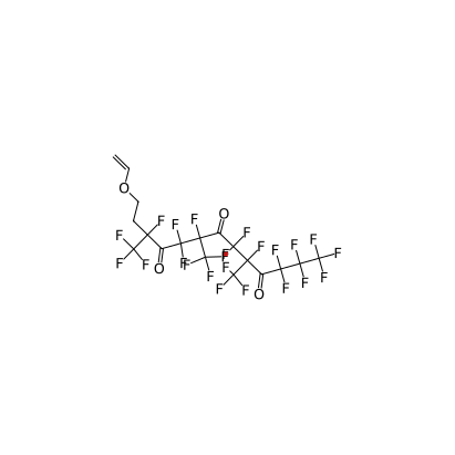 C=COCCC(F)(C(=O)C(F)(F)C(F)(C(=O)C(F)(F)C(F)(C(=O)C(F)(F)C(F)(F)C(F)(F)F)C(F)(F)F)C(F)(F)F)C(F)(F)F